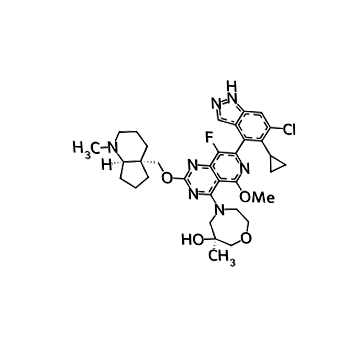 COc1nc(-c2c(C3CC3)c(Cl)cc3[nH]ncc23)c(F)c2nc(OC[C@]34CCC[C@H]3N(C)CCC4)nc(N3CCOC[C@@](C)(O)C3)c12